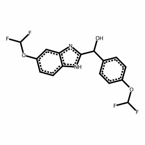 OC(c1ccc(OC(F)F)cc1)c1nc2cc(OC(F)F)ccc2[nH]1